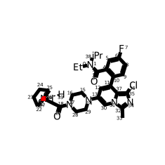 CCN(C(=O)c1cc(F)ccc1-c1cc(N2CCN(C(=O)[C@@H]3NC4CCC3CC4)CC2)cn2c(C)nc(Cl)c12)C(C)C